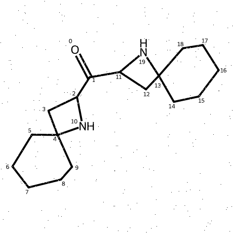 O=C(C1CC2(CCCCC2)N1)C1CC2(CCCCC2)N1